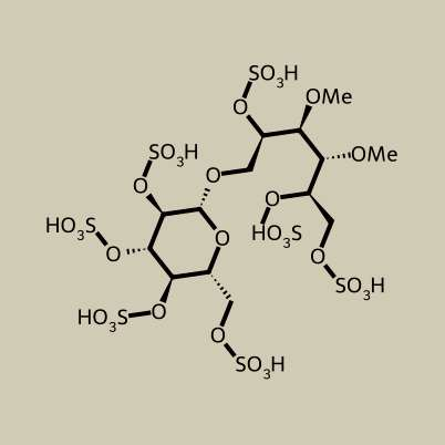 CO[C@@H]([C@H](OC)[C@@H](COS(=O)(=O)O)OS(=O)(=O)O)[C@@H](CO[C@@H]1O[C@H](COS(=O)(=O)O)[C@@H](OS(=O)(=O)O)[C@H](OS(=O)(=O)O)[C@H]1OS(=O)(=O)O)OS(=O)(=O)O